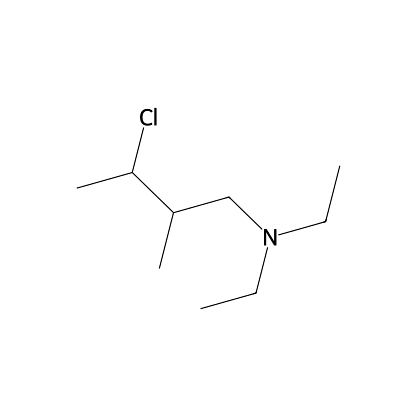 CCN(CC)CC(C)C(C)Cl